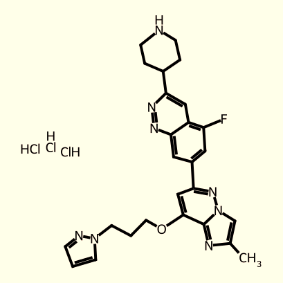 Cc1cn2nc(-c3cc(F)c4cc(C5CCNCC5)nnc4c3)cc(OCCCn3cccn3)c2n1.Cl.Cl.Cl